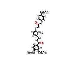 CCC1C(CCC(=O)Cc2ccc(OC)cc2)=CC=C1CCC(=O)c1ccc(OC)c(OC)c1